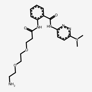 CN(C)c1ccc(NC(=O)c2ccccc2NC(=O)CCOCCOCCN)nn1